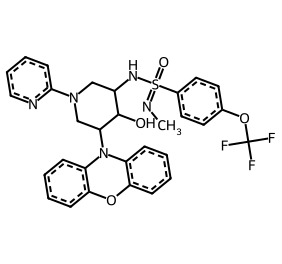 CN=S(=O)(NC1CN(c2ccccn2)CC(N2c3ccccc3Oc3ccccc32)C1O)c1ccc(OC(F)(F)F)cc1